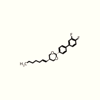 CCCCC/C=C/[C@H]1CO[C@H](c2ccc(-c3ccc(F)c(F)c3)cc2)OC1